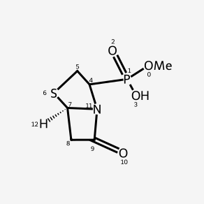 COP(=O)(O)C1CS[C@@H]2CC(=O)N12